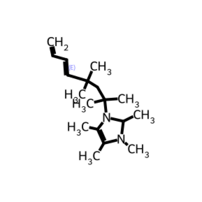 C=C/C=C/C(C)(C)CC(C)(C)N1C(C)=C(C)N(C)C1C